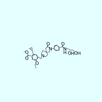 CCOc1cc(C(=O)OC)c(C2CC2)cc1CN1CCC2(CC1)CC(=O)N(c1ccc(C(=O)NC[C@@H](O)CO)cc1)C2